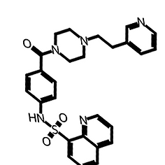 O=C(c1ccc(NS(=O)(=O)c2cccc3cccnc23)cc1)N1CCN(CCc2cccnc2)CC1